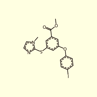 COC(=O)c1cc(Oc2ccc(I)cc2)cc(Sc2nccn2C)c1